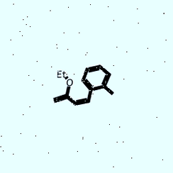 C=C(/C=C\c1ccccc1C)OCC